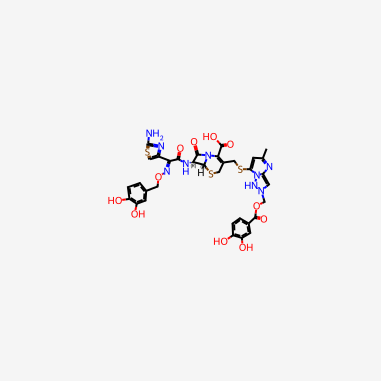 CC1=NC2=CN(COC(=O)c3ccc(O)c(O)c3)NN2C(SCC2=C(C(=O)O)N3C(=O)[C@@H](NC(=O)C(=NOCc4ccc(O)c(O)c4)c4csc(N)n4)[C@H]3SC2)=C1